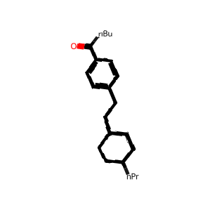 CCCCC(=O)c1ccc(CCC2CCC(CCC)CC2)cc1